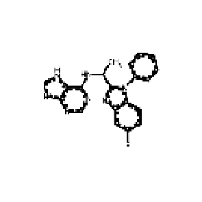 CC(Nc1ncnc2nc[nH]c12)c1nc2cc(F)ccc2n1-c1ccccc1